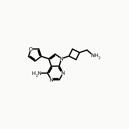 NCC1CC(n2cc(-c3ccoc3)c3c(N)ncnc32)C1